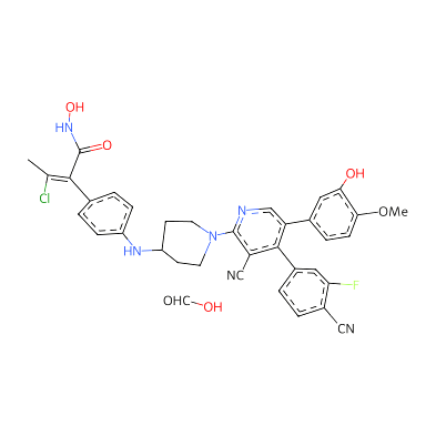 COc1ccc(-c2cnc(N3CCC(Nc4ccc(C(C(=O)NO)=C(C)Cl)cc4)CC3)c(C#N)c2-c2ccc(C#N)c(F)c2)cc1O.O=CO